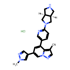 Cl.Cn1cc(-c2cc(-c3ccc(N4C[C@H]5CNC[C@H]5C4)nc3)c3c(C#N)cnn3c2)cn1